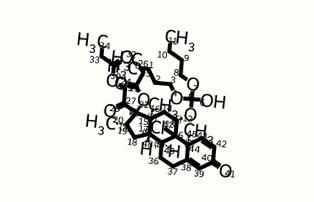 CCCCOC(O)(OCCCC)O[C@H]1C[C@@]2(C)[C@@H](C[C@H](C)[C@]2(OC(=O)CC)C(=O)COC(=O)CC)[C@@H]2CCC3=CC(=O)C=C[C@]3(C)C12Cl